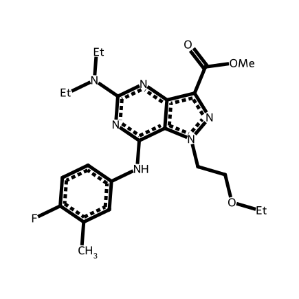 CCOCCn1nc(C(=O)OC)c2nc(N(CC)CC)nc(Nc3ccc(F)c(C)c3)c21